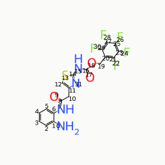 Nc1ccccc1NC(=O)Cc1csc(NC(=O)OCc2c(F)c(F)c(F)c(F)c2F)n1